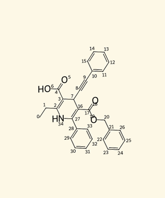 CCC1=C(C(=O)O)C(C#Cc2ccccc2)C(C(=O)OCc2ccccc2)=C(c2ccccc2)N1